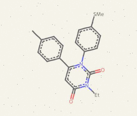 CCn1c(=O)cc(-c2ccc(C)cc2)n(-c2ccc(SC)cc2)c1=O